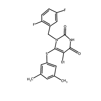 CCc1c(Sc2cc(C)cc(C)c2)n(Cc2cc(F)ccc2F)c(=O)[nH]c1=O